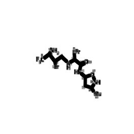 CCCC(NCC(Br)C(N)C(F)(F)F)C(=O)NC1CC(C(C)(C)C)NO1